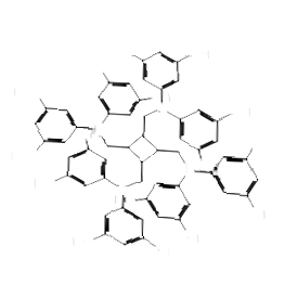 Cc1cc(C)cc(P(CC2C(CP(c3cc(C)cc(C)c3)c3cc(C)cc(C)c3)C(CP(c3cc(C)cc(C)c3)c3cc(C)cc(C)c3)C2CP(c2cc(C)cc(C)c2)c2cc(C)cc(C)c2)c2cc(C)cc(C)c2)c1